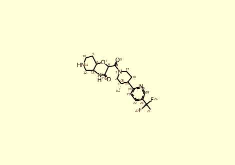 C[C@@H]1CN(C(=O)C2OC3CCNCC3NC2=O)CCC1c1ccc(C(C)(F)F)cn1